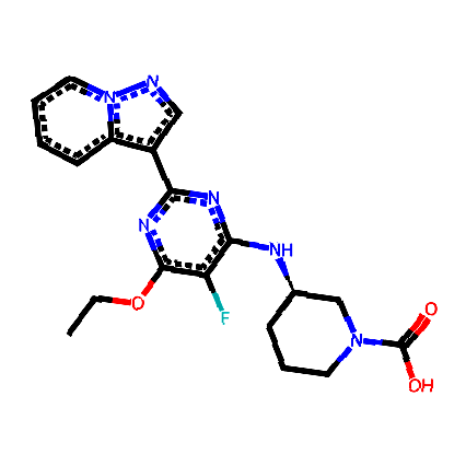 CCOc1nc(-c2cnn3ccccc23)nc(N[C@@H]2CCCN(C(=O)O)C2)c1F